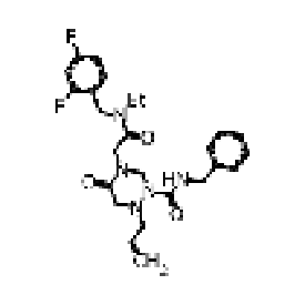 C=CCN1CC(=O)N(CC(=O)N(CC)Cc2ccc(F)cc2F)CN1C(=O)NCc1ccccc1